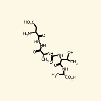 CC(O)[C@H](NC(=O)N[C@@H](C)C(=O)NNC(=O)[C@@H](N)CC(=O)O)C(=O)N[C@@H](C)C(=O)O